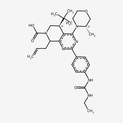 C=CCC1c2nc(-c3ccc(NC(=O)NCC)cc3)nc(N3CCOC[C@@H]3C)c2[C@H](C(C)(C)C)CN1C(=O)O